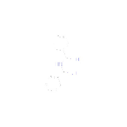 NC(NC(N)c1ccccc1)C1=CC=CCC1